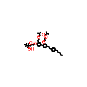 C=C(C)COCCc1cc(-c2ccc(CCc3ccc(CCCCC)cc3)cc2OCCOC(=O)C(=C)C)ccc1OCCCC(CO)(CO)C(C)(C)C